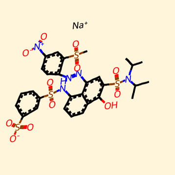 CC(C)N(C(C)C)S(=O)(=O)c1cc(N=Nc2ccc([N+](=O)[O-])cc2S(C)(=O)=O)c2c(NS(=O)(=O)c3cccc(S(=O)(=O)[O-])c3)cccc2c1O.[Na+]